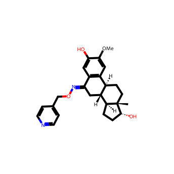 COc1cc2c(cc1O)C(=NOCc1ccncc1)C[C@@H]1[C@@H]2CC[C@]2(C)[C@H](O)CC[C@@H]12